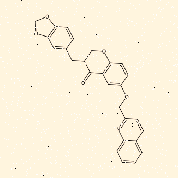 O=C1c2cc(OCc3ccc4ccccc4n3)ccc2OCC1Cc1ccc2c(c1)OCO2